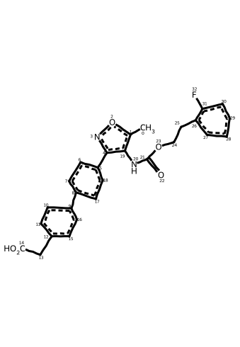 Cc1onc(-c2ccc(-c3ccc(CC(=O)O)cc3)cc2)c1NC(=O)OCCc1ccccc1F